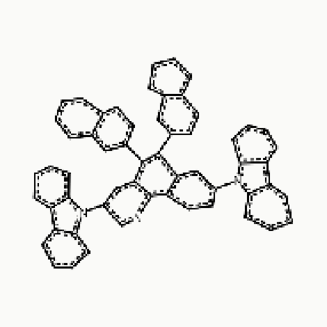 c1ccc2cc(-c3c(-c4ccc5ccccc5c4)c4cc(-n5c6ccccc6c6ccccc65)cnc4c4ccc(-n5c6ccccc6c6ccccc65)cc34)ccc2c1